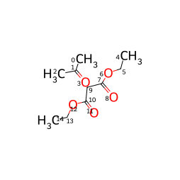 CC(C)=O.CCOC(=O)CC(=O)OCC